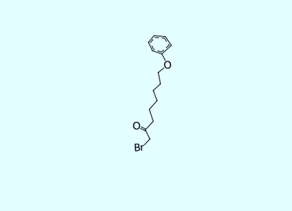 O=C(CBr)CCCCCCOc1ccccc1